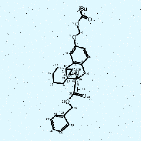 CCC(C)C(=O)OCOc1ccc2c(c1)[C@]13CCCC[C@@H]1[C@H](C2)N(C(=O)OCc1ccccc1)CC3